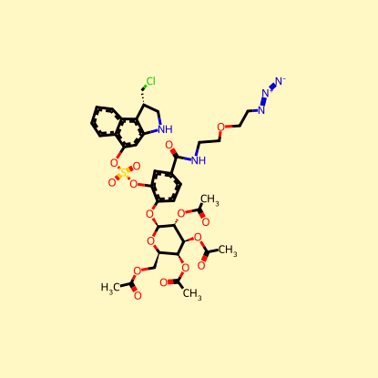 CC(=O)OC[C@H]1O[C@@H](Oc2ccc(C(=O)NCCOCCN=[N+]=[N-])cc2OS(=O)(=O)Oc2cc3c(c4ccccc24)[C@H](CCl)CN3)[C@H](OC(C)=O)[C@@H](OC(C)=O)[C@H]1OC(C)=O